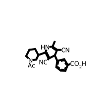 CC(=O)N1CCCC(C2=C(C#N)C(c3cccc(C(=O)O)c3)C(C#N)=C(C)N2)C1